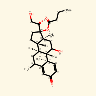 COCCC(=O)O[C@]1(C(=O)CO)CC[C@H]2[C@@H]3CC(C)C4=CC(=O)C=C[C@]4(C)[C@H]3C(O)C[C@@]21C